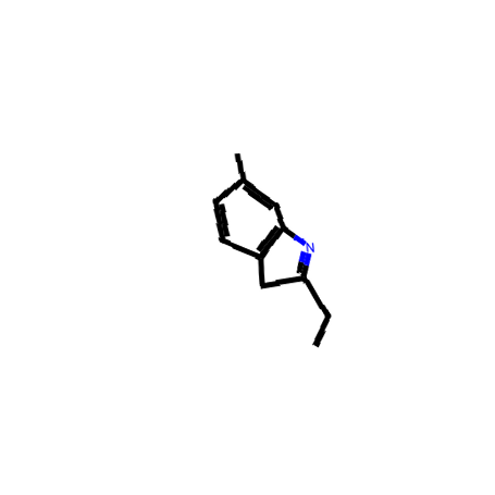 CCC1=Nc2cc(C)ccc2C1